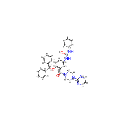 O=C(Nc1ccccc1)Nc1ccc(OC(c2ccccc2)c2ccccc2)c(C(=O)N2CCN(c3ncccn3)CC2)c1